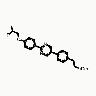 CCCCCCCCCCCCc1ccc(-c2cnc(-c3ccc(OCC(C)F)cc3)nc2)cc1